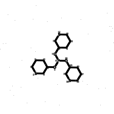 C1CSCC(OP(OC2CCCSC2)OC2CCCSC2)C1